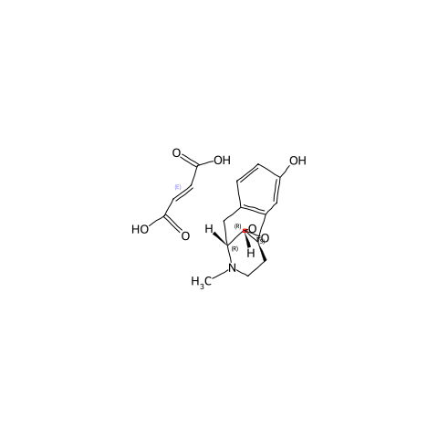 CN1CC[C@]23COCO[C@H]2[C@H]1Cc1ccc(O)cc13.O=C(O)/C=C/C(=O)O